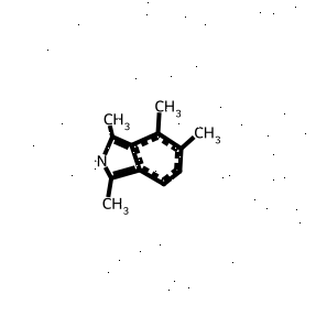 CC1=c2ccc(C)c(C)c2=C(C)[N]1